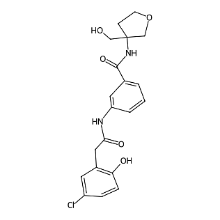 O=C(Cc1cc(Cl)ccc1O)Nc1cccc(C(=O)NC2(CO)CCOC2)c1